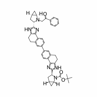 CC(C)(C)OC(=O)N1[C@@H]2C[C@@H]2C[C@H]1c1nc2c([nH]1)CCc1cc(-c3ccc4c(c3)CCc3[nH]c([C@@H]5C[C@H]6C[C@H]6N5CC(=O)c5ccccc5)nc3-4)ccc1-2